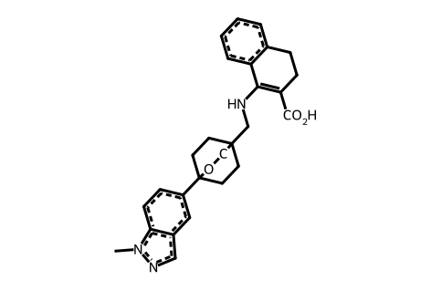 Cn1ncc2cc(C34CCC(CNC5=C(C(=O)O)CCc6ccccc65)(CC3)CO4)ccc21